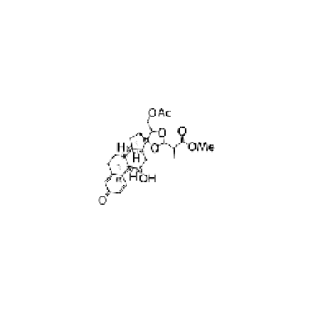 COC(=O)C(C)C1OC(COC(C)=O)[C@]2(CC[C@H]3[C@@H]4CCC5=CC(=O)C=C[C@]5(C)[C@H]4[C@@H](O)C[C@@]32C)O1